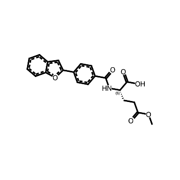 COC(=O)CC[C@H](NC(=O)c1ccc(-c2cc3ccccc3o2)cc1)C(=O)O